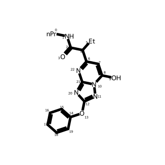 CCCNC(=O)C(CC)c1cc(O)n2nc(Oc3ccccc3)nc2n1